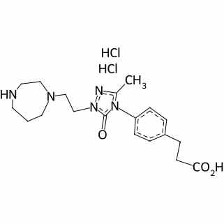 Cc1nn(CCN2CCCNCC2)c(=O)n1-c1ccc(CCC(=O)O)cc1.Cl.Cl